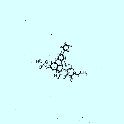 CCN1CCN(N(C(C)=O)[C@@](C)(c2ccc(NS(=O)(=O)O)cc2)c2csc(-c3cccs3)n2)C(=O)C1=O